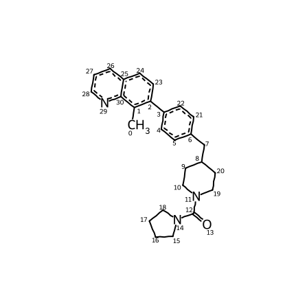 Cc1c(-c2ccc(CC3CCN(C(=O)N4CCCC4)CC3)cc2)ccc2cccnc12